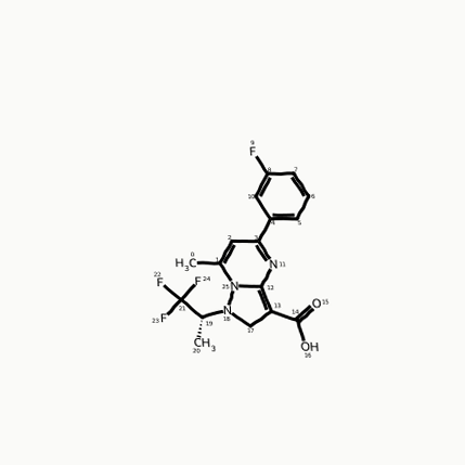 CC1=CC(c2cccc(F)c2)=NC2=C(C(=O)O)CN([C@H](C)C(F)(F)F)N12